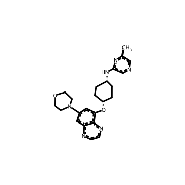 Cc1cncc(N[C@H]2CC[C@@H](Oc3cc(N4CCOCC4)cc4nccnc34)CC2)n1